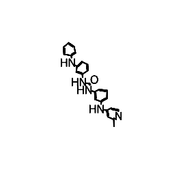 Cc1cc(Nc2cccc(NC(=O)Nc3cccc(Nc4ccccc4)c3)c2)ccn1